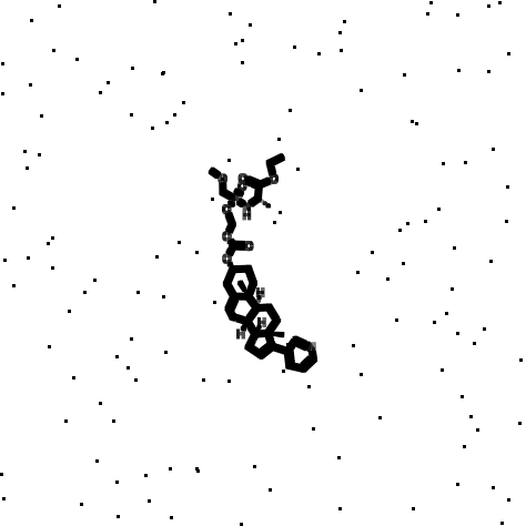 CCOC(=O)[C@H](C)NP(=O)(COC)OCOC(=O)O[C@H]1CC[C@@]2(C)C(=CC[C@@H]3[C@@H]2CC[C@]2(C)C(c4cccnc4)=CC[C@@H]32)C1